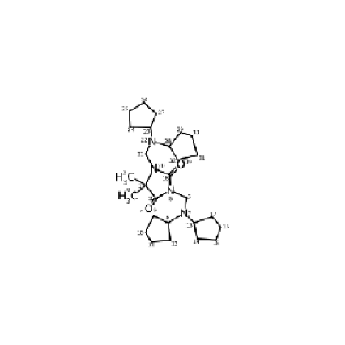 CC1(C)C(=O)N(CN(C2CCCC2)C2CCCC2)C(=O)N1CN(C1CCCC1)C1CCCC1